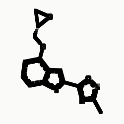 Cc1noc(-c2cc3c(OC[C@@H]4CO4)cccc3s2)n1